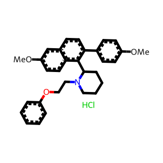 COc1ccc(-c2ccc3cc(OC)ccc3c2C2CCCCN2CCOc2ccccc2)cc1.Cl